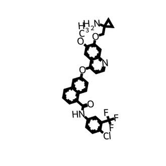 COc1cc2c(Oc3ccc4c(C(=O)Nc5ccc(Cl)c(C(F)(F)F)c5)cccc4c3)ccnc2cc1OCC1(N)CC1